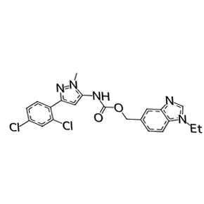 CCn1cnc2cc(COC(=O)Nc3cc(-c4ccc(Cl)cc4Cl)nn3C)ccc21